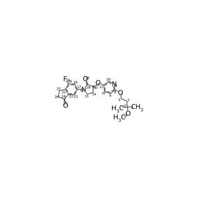 COC(C)(C)CCOc1ccc(O[C@@H]2CCN(c3cc(F)c4c(c3)C(=O)CC4)C2=O)cn1